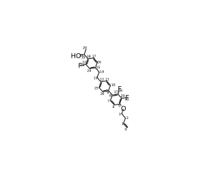 C=CCCOc1ccc(-c2ccc(CCc3ccc(C(C)O)c(F)c3)cc2)c(F)c1F